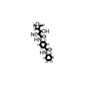 CC1ON=CC1/C(O)=C(\C#N)C(=O)Nc1ccc(C(=O)Nc2ccccc2)cc1